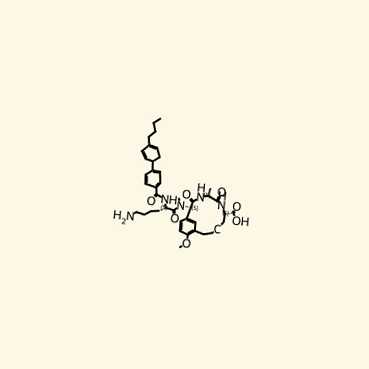 CCCCC1=CCC(c2ccc(C(=O)N[C@@H](CCCCN)C(=O)N(C)[C@@H]3C(=O)N[C@@H](C)C(=O)N[C@H](C(=O)O)CCCCc4cc3ccc4OC)cc2)C=C1